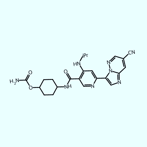 CC(C)Nc1cc(-c2cnc3cc(C#N)cnn23)ncc1C(=O)NC1CCC(OC(N)=O)CC1